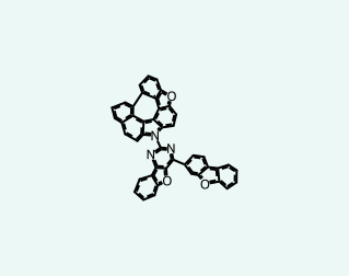 c1cc2c3c(c1)ccc1c3c3c4c(ccc3n1-c1nc(-c3ccc5c(c3)oc3ccccc35)c3oc5ccccc5c3n1)oc1cccc-2c14